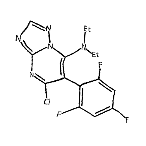 CCN(CC)c1c(-c2c(F)cc(F)cc2F)c(Cl)nc2ncnn12